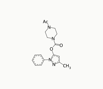 CC(=O)N1CCN(C(=O)Oc2cc(C)nn2-c2ccccc2)CC1